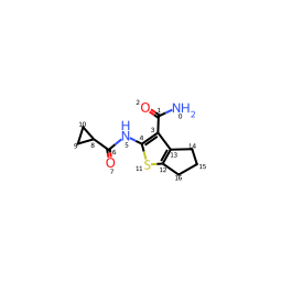 NC(=O)c1c(NC(=O)C2CC2)sc2c1CCC2